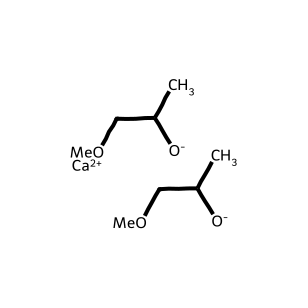 COCC(C)[O-].COCC(C)[O-].[Ca+2]